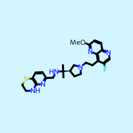 COc1ccc2ncc(F)c(CCN3CC[C@@H](C(C)(C)NCc4ccc5c(n4)NCCS5)C3)c2n1